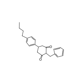 CCCCc1ccc(C2CC(=O)C(Cc3ccccc3)C(=O)C2)cc1